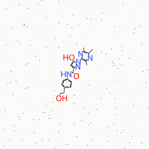 Cc1nc(C)c(-n2nc(C(=O)Nc3ccc(CCO)cc3)cc2O)nc1C